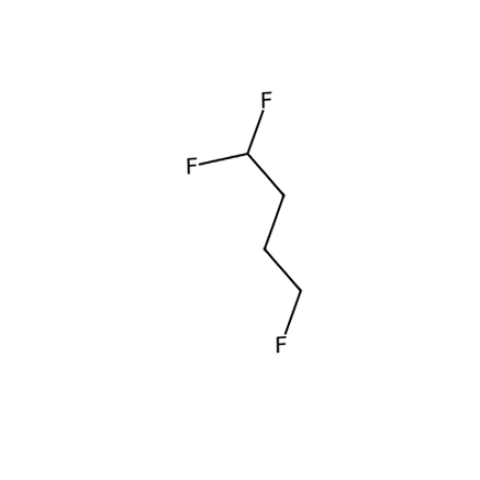 FCCCC(F)F